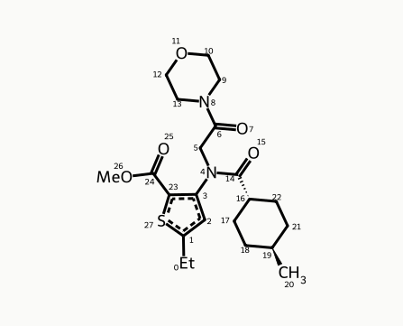 CCc1cc(N(CC(=O)N2CCOCC2)C(=O)[C@H]2CC[C@H](C)CC2)c(C(=O)OC)s1